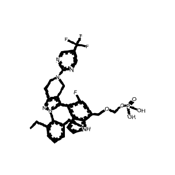 CCc1cccc(CC)c1-n1nc2c(c1-c1c(F)cc(COCOP(=O)(O)O)c3[nH]ccc13)CN(c1ncc(C(F)(F)F)cn1)CC2